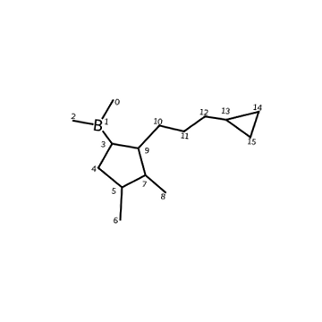 CB(C)C1CC(C)C(C)C1CCCC1CC1